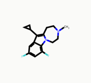 CN1CCc2c(C3CC3)c3cc(F)cc(F)c3n2CC1